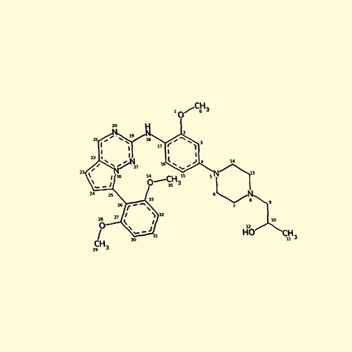 COc1cc(N2CCN(CC(C)O)CC2)ccc1Nc1ncc2ccc(-c3c(OC)cccc3OC)n2n1